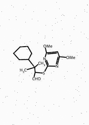 COc1cc(OC)nc(SC(C=O)C(C)(C)C2CCCCC2)n1